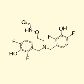 O=CNOCCN(Cc1ccc(F)c(O)c1F)Cc1ccc(F)c(O)c1F